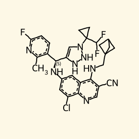 Cc1nc(F)ccc1[C@H](Nc1cc(Cl)c2ncc(C#N)c(NCC34CC(C3)C4)c2c1)C1=CN(C2(C(F)F)CC2)NN1